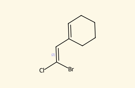 Cl/C(Br)=C/C1=CCCCC1